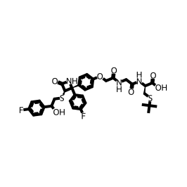 CC(C)(C)SC[C@@H](NC(=O)CNC(=O)COc1ccc([C@]2(c3ccc(F)cc3)NC(=O)[C@@H]2SCC(O)c2ccc(F)cc2)cc1)C(=O)O